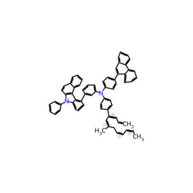 C=C/C=C(\C=C(\C)C/C=C\C=C/C)c1ccc(N(c2ccc(-c3cc4ccccc4c4ccccc34)cc2)c2cccc(-c3cccc4c3c3c5ccccc5ccc3n4-c3ccccc3)c2)cc1